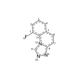 Fc1cccc2ccc3nncn3c12